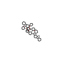 c1ccc(-c2cc(-c3ccccc3)nc(-c3cccc(-n4c5ccccc5c5c6oc7ccccc7c6ccc54)c3-c3ccccc3-n3c4ccccc4c4c5oc6ccccc6c5ccc43)n2)cc1